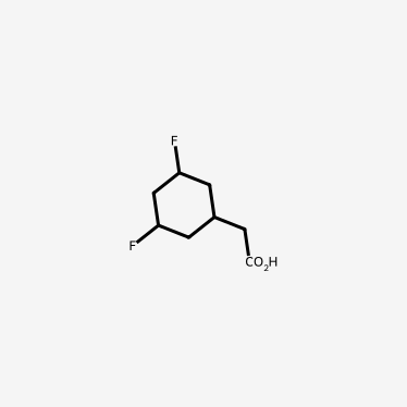 O=C(O)CC1CC(F)CC(F)C1